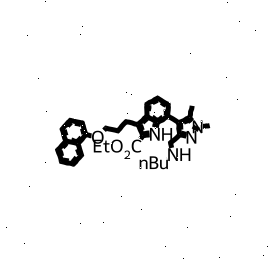 CCCCNCc1nn(C)c(C)c1-c1cccc2c(CCCOc3cccc4ccccc34)c(C(=O)OCC)[nH]c12